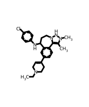 CCN1CC=C(c2ccc3c(c2)C(Nc2ccc(Cl)cc2)CCN2NN(C)C(C)=C32)CC1